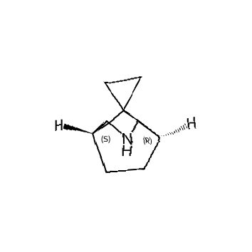 C1C[C@H]2CNC[C@@H]1C21CC1